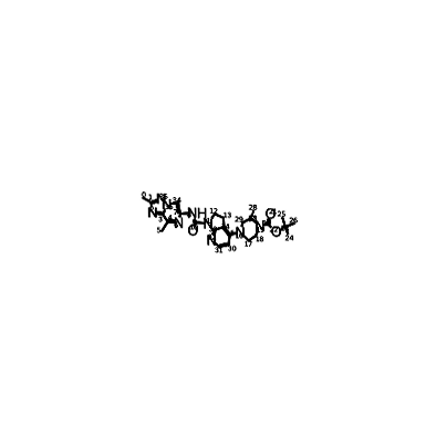 Cc1nc2c(C)nc(NC(=O)N3CCc4c(N5CCN(C(=O)OC(C)(C)C)[C@H](C)C5)ccnc43)cn2n1